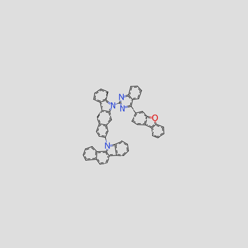 c1ccc2c(c1)ccc1c3ccccc3n(-c3ccc4cc5c6ccccc6n(-c6nc(-c7ccc8c(c7)oc7ccccc78)c7ccccc7n6)c5cc4c3)c21